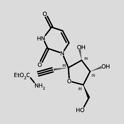 C#C[C@@]1(n2ccc(=O)[nH]c2=O)O[C@H](CO)[C@@H](O)[C@H]1O.CCOC(N)=O